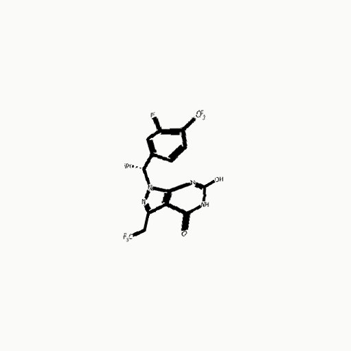 CC(C)[C@H](c1ccc(C(F)(F)F)c(F)c1)n1nc(CC(F)(F)F)c2c(=O)[nH]c(O)nc21